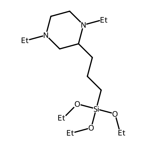 CCO[Si](CCCC1CN(CC)CCN1CC)(OCC)OCC